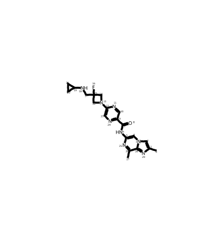 Cc1cn2cc(NC(=O)c3cnc(N4CC(F)(CNC5CC5)C4)cn3)nc(C)c2n1